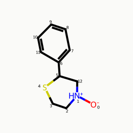 [O-][NH+]1CCSC(c2ccccc2)C1